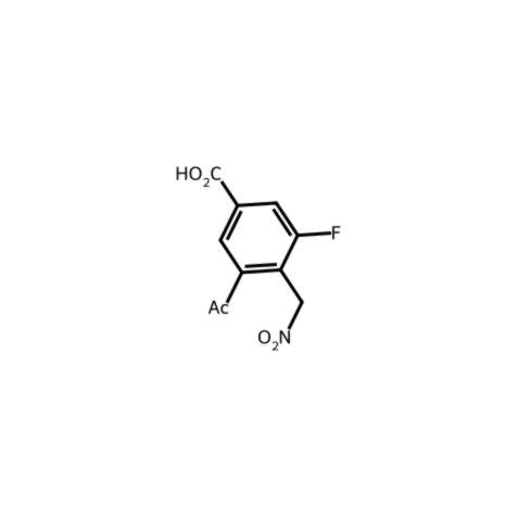 CC(=O)c1cc(C(=O)O)cc(F)c1C[N+](=O)[O-]